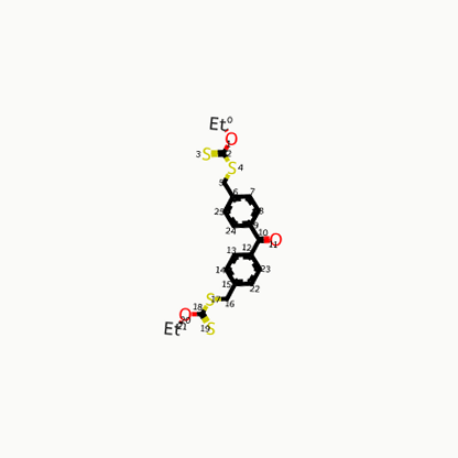 CCOC(=S)SCc1ccc(C(=O)c2ccc(CSC(=S)OCC)cc2)cc1